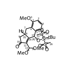 COc1cccc2c1C[C@H]1CC(=O)C(C(OC)OC)=C1[C@@H]2O[Si](C(C)(C)C)(S(C)(=O)=O)S(C)(=O)=O